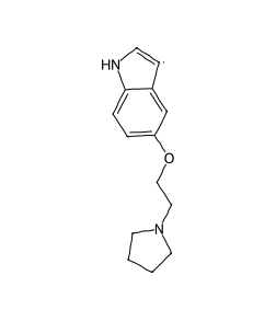 [c]1c[nH]c2ccc(OCCN3CCCC3)cc12